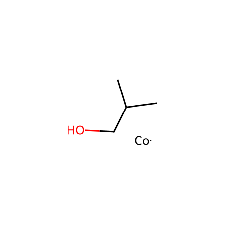 CC(C)CO.[Co]